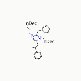 CCCCCCCCCCCCCn1cc(CC(C)c2ccccc2)[n+](CCCCCCCCCCC)c1Cc1ccccc1